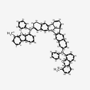 Cc1cccc2c1oc1c(N(C3=Cc4cc5c(cc4CC3)C3C=CC=C4c6cc7ccc(N(c8ccccc8)c8cccc9c8oc8c(C)cccc89)cc7cc6N5C43)c3ccccc3)cccc12